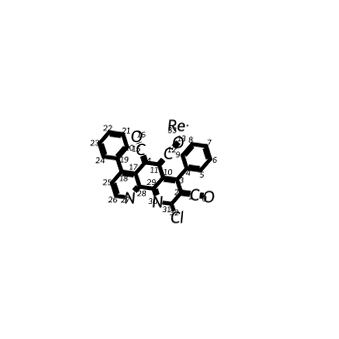 O=C=C1C(c2ccccc2)=c2c(=C=O)c(=C=O)c3c(-c4ccccc4)ccnc3c2=NC1Cl.[Re]